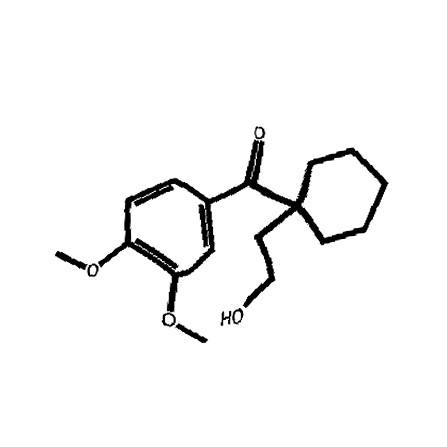 COc1ccc(C(=O)C2(CCO)CCCCC2)cc1OC